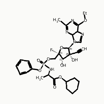 C#C[C@]1(O)[C@H](N2C=NC3C(OCC)=NC(C)=NC32)O[C@](F)(COP(=O)(NC(C)C(=O)OC2CCCCC2)Oc2ccccc2)[C@H]1O